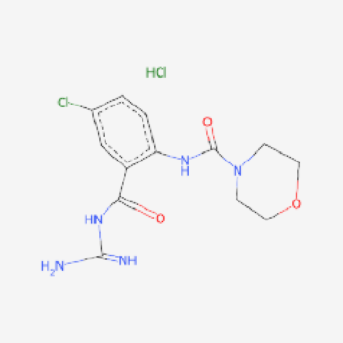 Cl.N=C(N)NC(=O)c1cc(Cl)ccc1NC(=O)N1CCOCC1